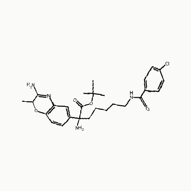 CC1Oc2ccc(C(N)(CCCCCNC(=O)c3ccc(Cl)cc3)C(=O)OC(C)(C)C)cc2N=C1N